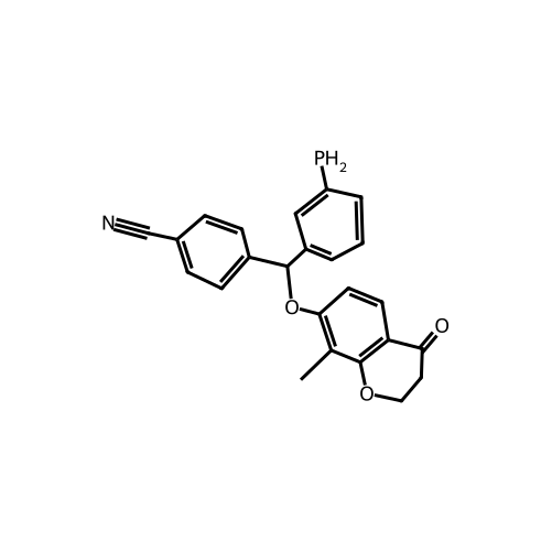 Cc1c(OC(c2ccc(C#N)cc2)c2cccc(P)c2)ccc2c1OCCC2=O